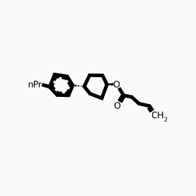 C=CCCC(=O)O[C@H]1CC[C@H](c2ccc(CCC)cc2)CC1